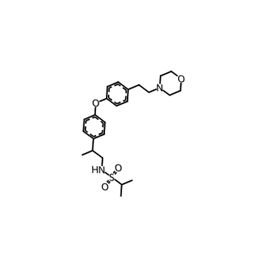 CC(CNS(=O)(=O)C(C)C)c1ccc(Oc2ccc(CCN3CCOCC3)cc2)cc1